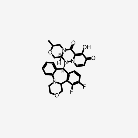 CC1CN2C(=O)c3c(O)c(=O)ccn3N([C@@H]3c4ccccc4N4CCOCC4c4c3ccc(F)c4F)[C@@H]2CO1